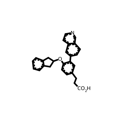 O=C(O)CCc1ccc(OC2Cc3ccccc3C2)c(-c2ccc3cnccc3c2)c1